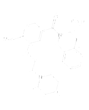 COc1ccc(C(=O)N2Cc3ccccc3C[C@H]2C(=O)O)cc1OCCN1CCOCC1